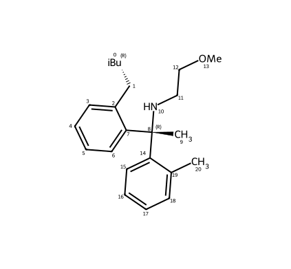 CC[C@@H](C)Cc1ccccc1[C@](C)(NCCOC)c1ccccc1C